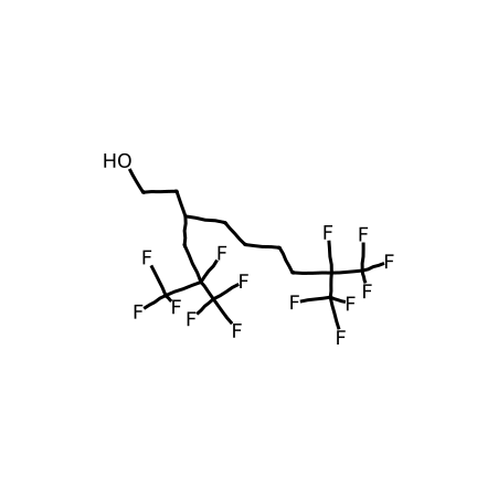 OCCC(CCCCC(F)(C(F)(F)F)C(F)(F)F)CC(F)(C(F)(F)F)C(F)(F)F